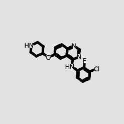 Fc1c(Cl)cccc1Nc1ncnc2ccc(OC3CCNCC3)cc12